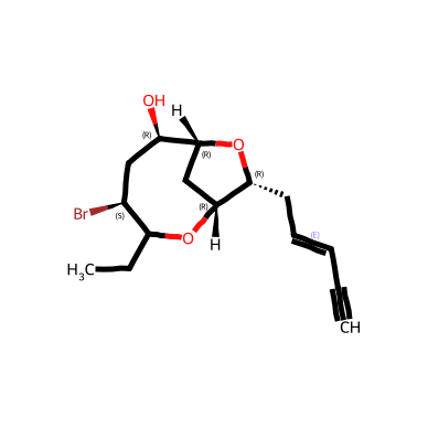 C#C/C=C/C[C@H]1O[C@@H]2C[C@H]1OC(CC)[C@@H](Br)C[C@H]2O